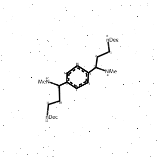 CCCCCCCCCCCCC(NC)c1ccc(C(CCCCCCCCCCCC)NC)cc1